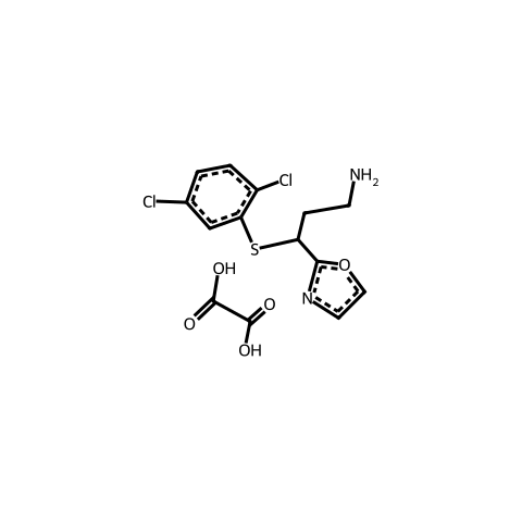 NCCC(Sc1cc(Cl)ccc1Cl)c1ncco1.O=C(O)C(=O)O